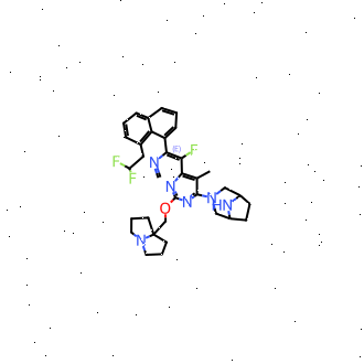 C=N/C(=C(/F)c1nc(OCC23CCCN2CCC3)nc(N2CC3CCC(C2)N3)c1C)c1cccc2cccc(CC(F)F)c12